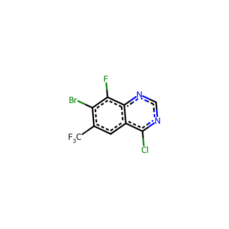 Fc1c(Br)c(C(F)(F)F)cc2c(Cl)ncnc12